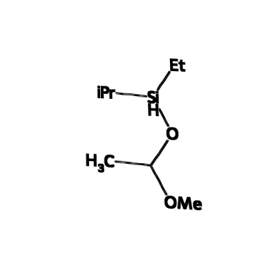 CC[SiH](OC(C)OC)C(C)C